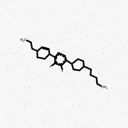 CCCCCC1CCC(c2ccc(C3C=CC(CCC)CC3)c(F)c2F)CC1